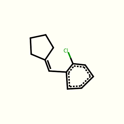 Clc1ccccc1C=C1CCCC1